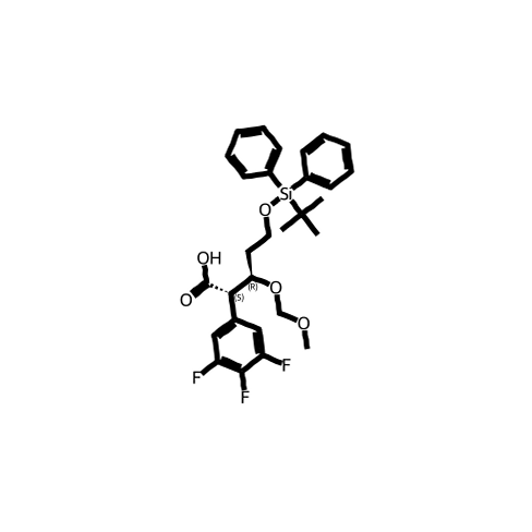 COCO[C@H](CCO[Si](c1ccccc1)(c1ccccc1)C(C)(C)C)[C@@H](C(=O)O)c1cc(F)c(F)c(F)c1